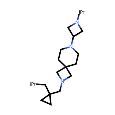 CC(C)CC1(CN2CC3(CCN(C4CN(C(C)C)C4)CC3)C2)CC1